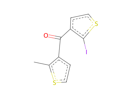 Cc1sccc1C(=O)c1ccsc1I